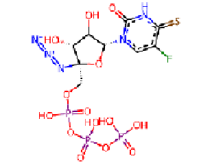 [N-]=[N+]=N[C@]1(COP(=O)(O)OP(=O)(O)OP(=O)(O)O)O[C@@H](n2cc(F)c(=S)[nH]c2=O)C(O)[C@H]1O